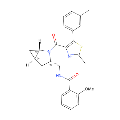 COc1ccccc1C(=O)NC[C@@H]1C[C@H]2C[C@@H]2N1C(=O)c1nc(C)sc1-c1cccc(C)c1